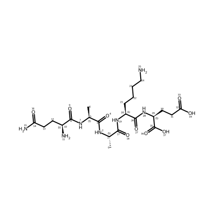 C[C@H](NC(=O)[C@H](C)NC(=O)[C@@H](N)CCC(N)=O)C(=O)N[C@@H](CCCCN)C(=O)N[C@@H](CCC(=O)O)C(=O)O